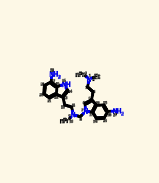 CCCN(CC)CCc1cn(CN(CCC)CCc2c[nH]c3c(N)cccc23)c2ccc(N)cc12